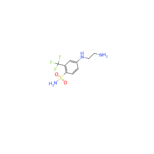 NCCNc1ccc(S(N)(=O)=O)c(C(F)(F)F)c1